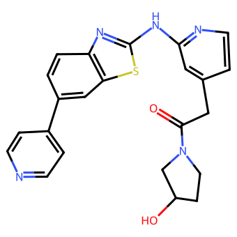 O=C(Cc1ccnc(Nc2nc3ccc(-c4ccncc4)cc3s2)c1)N1CCC(O)C1